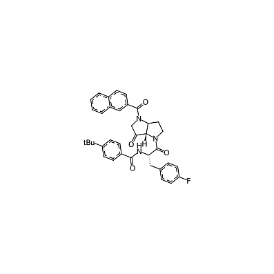 CC(C)(C)c1ccc(C(=O)N[C@@H](Cc2ccc(F)cc2)C(=O)N2CCC3[C@H]2C(=O)CN3C(=O)c2ccc3ccccc3c2)cc1